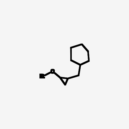 CCOC1CC1CC1CCCCC1